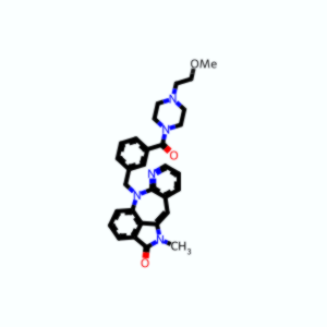 COCCN1CCN(C(=O)c2cccc(CN3c4cccc5c4C(=Cc4cccnc43)N(C)C5=O)c2)CC1